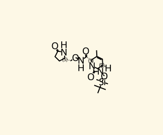 CC1=C[C@@H]2CN(C(=O)N2O[Si](C)(C)C(C)(C)C)[C@@H]1C(=O)NOC[C@@H]1CCC(=O)N1